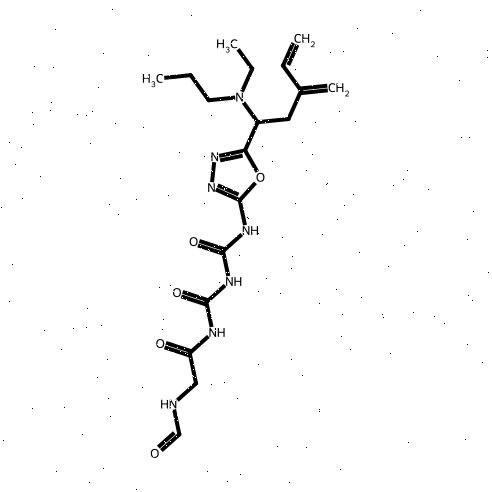 C=CC(=C)CC(c1nnc(NC(=O)NC(=O)NC(=O)CNC=O)o1)N(CC)CCC